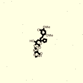 COc1cc(OC)c(CCC2(C3CCCC3)CC(O)=C(Sc3nc4nc[nH]c(=O)c4[nH]3)C(=O)O2)cc1Cl